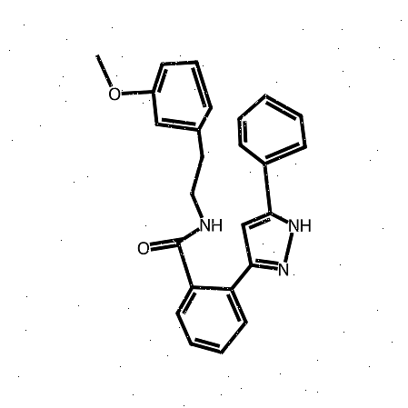 COc1cccc(CCNC(=O)c2ccccc2-c2cc(-c3ccccc3)[nH]n2)c1